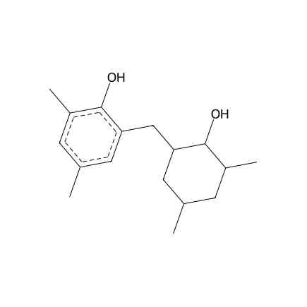 Cc1cc(C)c(O)c(CC2CC(C)CC(C)C2O)c1